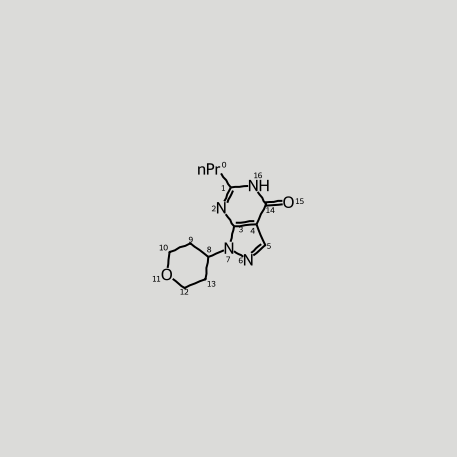 CCCc1nc2c(cnn2C2CCOCC2)c(=O)[nH]1